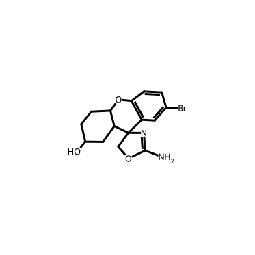 NC1=NC2(CO1)c1cc(Br)ccc1OC1CCC(O)CC12